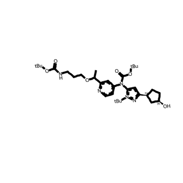 CC(OCCCNC(=O)OC(C)(C)C)c1cc(N(C(=O)OC(C)(C)C)c2cc([C@H]3CC[C@@H](O)C3)nn2C(C)(C)C)ccn1